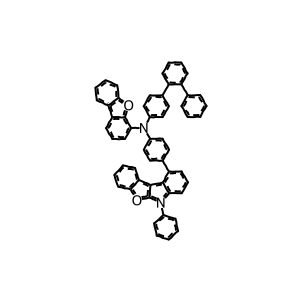 c1ccc(-c2ccccc2-c2ccc(N(c3ccc(-c4cccc5c4c4c6ccccc6oc4n5-c4ccccc4)cc3)c3cccc4c3oc3ccccc34)cc2)cc1